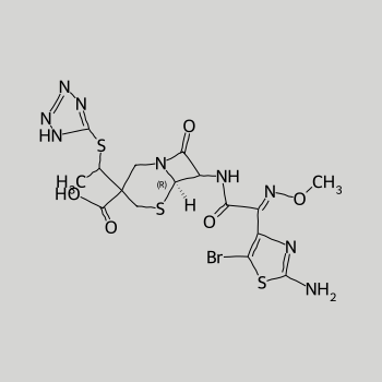 CON=C(C(=O)NC1C(=O)N2CC(C(=O)O)(C(C)Sc3nnn[nH]3)CS[C@H]12)c1nc(N)sc1Br